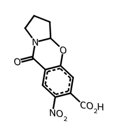 O=C(O)c1cc2c(cc1[N+](=O)[O-])C(=O)N1CCCC1O2